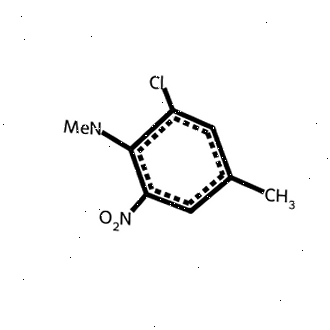 CNc1c(Cl)cc(C)cc1[N+](=O)[O-]